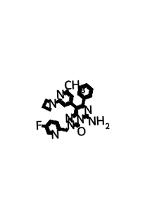 Cc1cc(-c2c(-c3ccccc3)nc(N)n3c(=O)n(Cc4ccc(F)cn4)nc23)cc(N2CCC2)n1